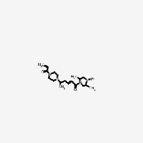 C=CC(=O)N1CCN(C(C)C/C=C/C(=O)N2CC(C)N(C(C)C)CC2C)CC1